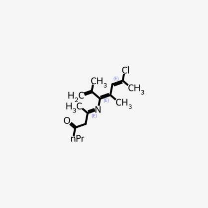 C=C(C)C(/N=C(\C)CC(=O)CCC)=C(C)\C=C(/C)Cl